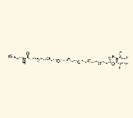 CC(C)(C)CCNC(=O)CCOCCOCCOCCOCCOCCOCCOCCC(=O)Oc1c(F)c(F)c(F)c(F)c1F